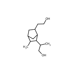 CC(CO)C1C(C)C2CC(CCO)C1C2